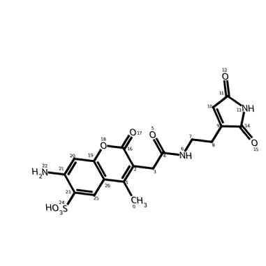 Cc1c(CC(=O)NCCC2=CC(=O)NC2=O)c(=O)oc2cc(N)c(S(=O)(=O)O)cc12